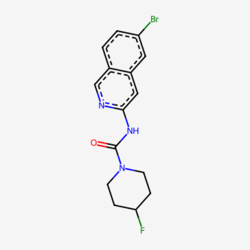 O=C(Nc1cc2cc(Br)ccc2cn1)N1CCC(F)CC1